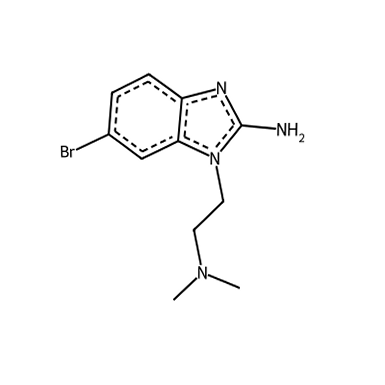 CN(C)CCn1c(N)nc2ccc(Br)cc21